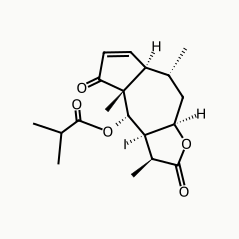 CC(C)C(=O)O[C@@H]1[C@]2(C)C(=O)C=C[C@H]2[C@H](C)C[C@H]2OC(=O)[C@@H](C)[C@@]12I